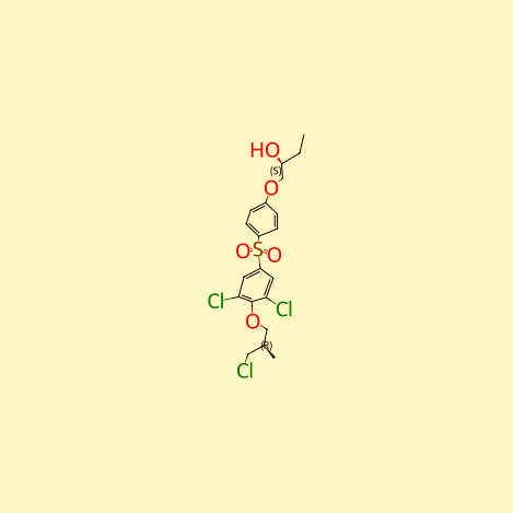 CC[C@H](O)COc1ccc(S(=O)(=O)c2cc(Cl)c(OC[C@@H](C)CCl)c(Cl)c2)cc1